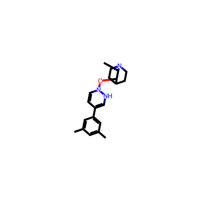 Cc1cc(C)cc(C2=CNN(OC3C4CCN(CC4)C3C)C=C2)c1